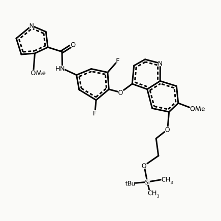 COc1cc2nccc(Oc3c(F)cc(NC(=O)c4cnccc4OC)cc3F)c2cc1OCCO[Si](C)(C)C(C)(C)C